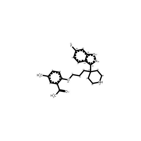 CC(=O)c1cc(C)ccc1OCCCC1(c2noc3cc(F)ccc23)CCNCC1